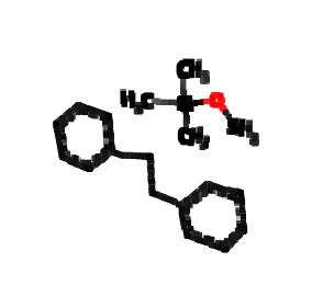 C[Si](C)(C)O[SiH3].c1ccc(CCc2ccccc2)cc1